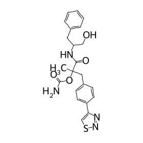 CC(Cc1ccc(-c2csnn2)cc1)(OC(N)=O)C(=O)NC(CO)Cc1ccccc1